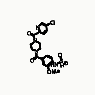 COc1cc(C(=O)N2CCN(C(=O)c3ccc(Cl)cn3)CC2)ccc1N[SH](=O)=O